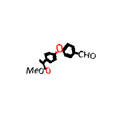 C=C(C(=O)OC)c1ccc(Oc2ccc(C=O)cc2)cc1